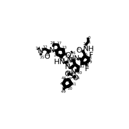 CCCNC(=O)c1c(F)cc(F)cc1Nc1nc(Nc2cc3c(cc2OC)CCN3C(=O)CN(C)C)nc2c1ccn2S(=O)(=O)c1ccc(C)cc1